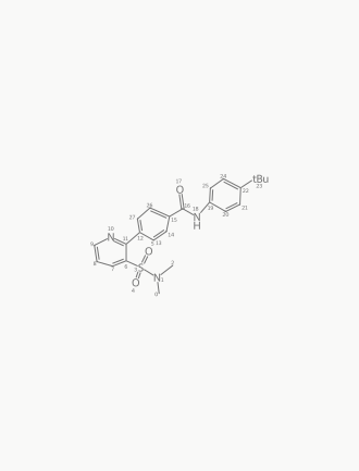 CN(C)S(=O)(=O)c1cccnc1-c1ccc(C(=O)Nc2ccc(C(C)(C)C)cc2)cc1